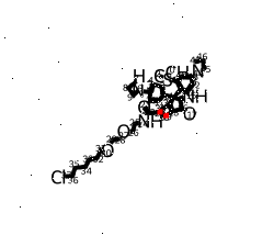 CS1(C)c2cc(N3CCC3)ccc2C2(C(=N)C(=O)c3ccc(C(=O)NCCOCCOCCCCCCCl)cc32)c2ccc(N3CCC3)cc21